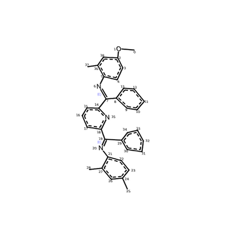 COc1ccc(/N=C(\c2ccccc2)c2cccc(/C(=N/c3ccc(C)cc3C)c3ccccc3)n2)c(C)c1